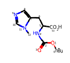 CCCCOC(=O)NC(Cc1cncn1C)C(=O)O